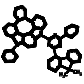 CC1(C)c2ccccc2-c2c(-c3nc(-c4ccccc4)nc(-n4c5cccc6c7ccccc7c7cccc8c7c7c(c65)c4ccc7n8-c4ccccc4)n3)cccc21